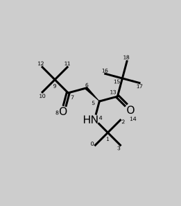 CC(C)(C)N[C@@H](CC(=O)C(C)(C)C)C(=O)C(C)(C)C